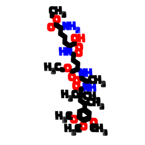 CCOC(=O)C(N)CCCC(NC(=O)CCC(NC(=O)C(C)NC(=O)C(C)(C)CC(C)c1cc(OC)c(OC)c(OC)c1)C(=O)OCC)C(=O)O